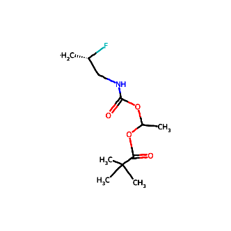 [CH2][C@H](F)CNC(=O)OC(C)OC(=O)C(C)(C)C